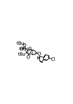 CC(C)(C)OC(=O)N[C@H](C(=O)N1C[C@H](Oc2nccc3cc(Cl)ccc23)C[C@H]1C(=O)O)C(C)(C)C